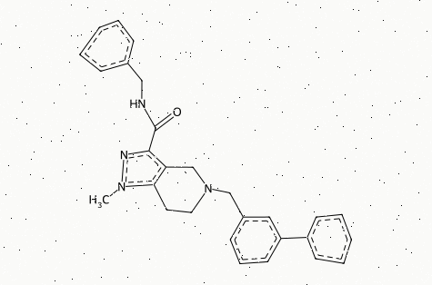 Cn1nc(C(=O)NCc2ccccc2)c2c1CCN(Cc1cccc(-c3ccccc3)c1)C2